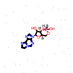 B[PH]1(O)OC[C@H]2O[C@@H](n3cnc4c3ncn3ccnc43)C(O)[C@H]2O1